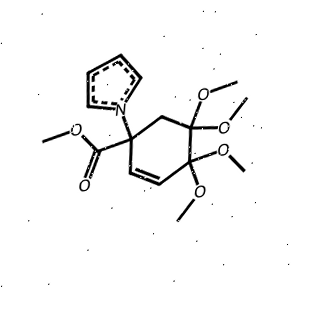 COC(=O)C1(n2cccc2)C=CC(OC)(OC)C(OC)(OC)C1